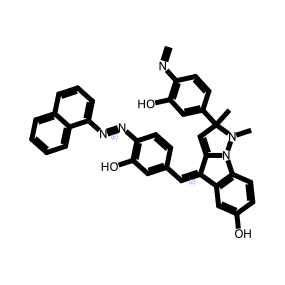 C=Nc1ccc(C2(C)C=c3/c(=C\c4ccc(/N=N/c5cccc6ccccc56)c(O)c4)c4cc(O)ccc4n3N2C)cc1O